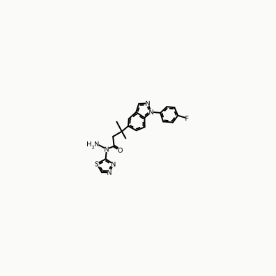 CC(C)(CC(=O)N(N)c1nncs1)c1ccc2c(cnn2-c2ccc(F)cc2)c1